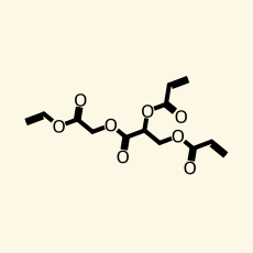 C=COC(=O)COC(=O)C(COC(=O)C=C)OC(=O)C=C